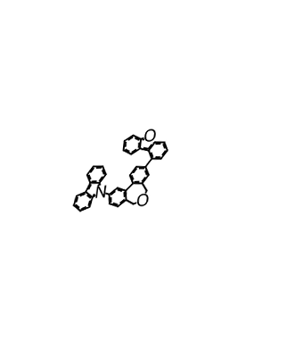 c1ccc2c(c1)oc1cccc(-c3ccc4c(c3)COCc3ccc(-n5c6ccccc6c6ccccc65)cc3-4)c12